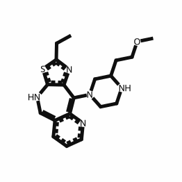 CCc1nc2c(s1)NC=c1cccnc1=C2N1CCNC(CCOC)C1